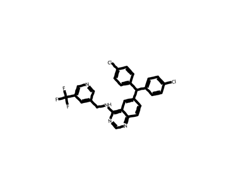 FC(F)(F)c1cncc(CNc2ncnc3ccc(C(c4ccc(Cl)cc4)c4ccc(Cl)cc4)cc23)c1